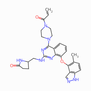 C=CC(=O)N1CCN(c2nc(NCC3CCC(=O)N3)nc3c(Oc4c(C)ccc5[nH]ncc45)cccc23)CC1